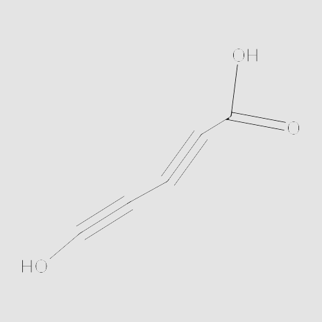 O=C(O)C#CC#CO